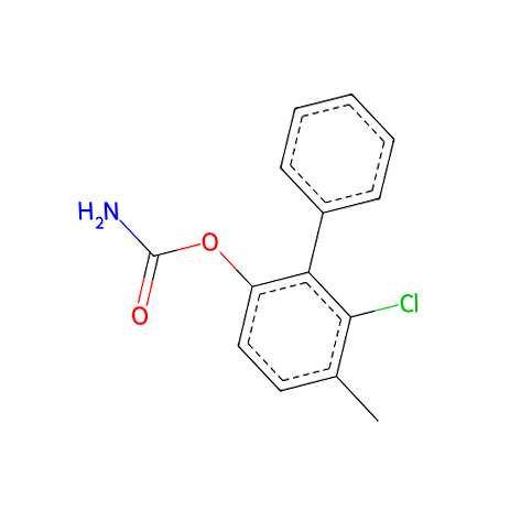 Cc1ccc(OC(N)=O)c(-c2ccccc2)c1Cl